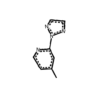 Cc1ccnc(-n2nccn2)c1